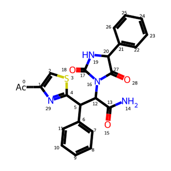 CC(=O)c1csc(C(c2ccccc2)C(C(N)=O)N2C(=O)NC(c3ccccc3)C2=O)n1